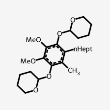 CCCCCCCc1c(C)c(OC2CCCCO2)c(OC)c(OC)c1OC1CCCCO1